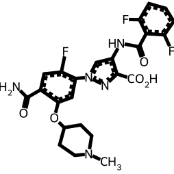 CN1CCC(Oc2cc(-n3cc(NC(=O)c4c(F)cccc4F)c(C(=O)O)n3)c(F)cc2C(N)=O)CC1